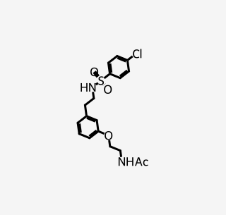 CC(=O)NCCOc1cccc(CCNS(=O)(=O)c2ccc(Cl)cc2)c1